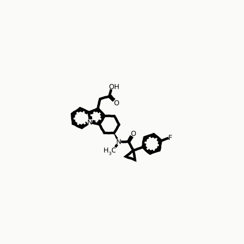 CN(C(=O)C1(c2ccc(F)cc2)CC1)[C@@H]1CCc2c(CC(=O)O)c3ccccn3c2C1